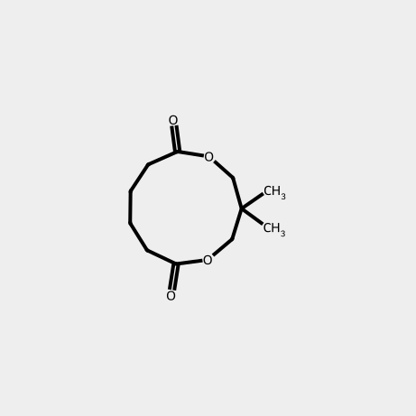 CC1(C)COC(=O)CCCCC(=O)OC1